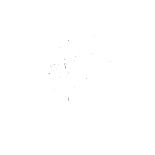 C[C@H](CCC(=O)O)[C@H]1CC[C@H]2[C@@H]3[C@H](O)C[C@@H]4C[C@H](O)CC[C@]4(C)[C@H]3C[C@H](O)[C@]12C.NCC1(CC(=O)O)CCCCC1